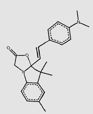 Cc1ccc2c(c1)C(C)(C)C1(C=Cc3ccc(N(C)C)cc3)OC(=O)CN21